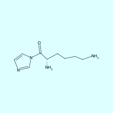 NCCCC[C@H](N)C(=O)n1ccnc1